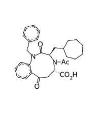 CC(=O)N1[C@H](CC2CCCCCC2)C(=O)N(Cc2ccccc2)c2ccccc2C(=O)C[C@H]1C(=O)O